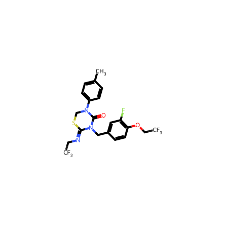 Cc1ccc(N2CSC(=NCC(F)(F)F)N(Cc3ccc(OCC(F)(F)F)c(F)c3)C2=O)cc1